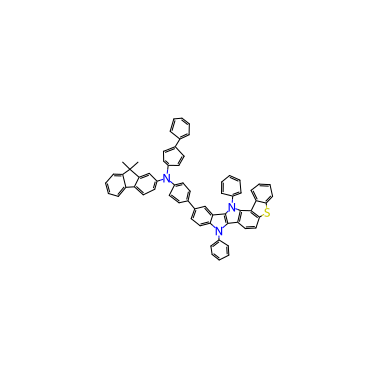 CC1(C)c2ccccc2-c2ccc(N(c3ccc(-c4ccccc4)cc3)c3ccc(-c4ccc5c(c4)c4c(c6ccc7sc8ccccc8c7c6n4-c4ccccc4)n5-c4ccccc4)cc3)cc21